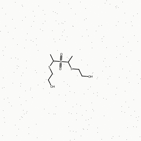 CC(SCCO)S(=O)(=O)C(C)SCCO